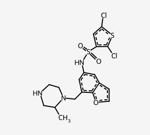 CC1CNCCN1Cc1cc(NS(=O)(=O)c2cc(Cl)sc2Cl)cc2ccoc12